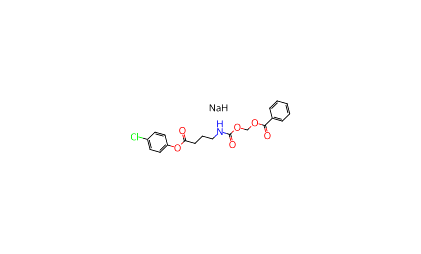 O=C(CCCNC(=O)OCOC(=O)c1ccccc1)Oc1ccc(Cl)cc1.[NaH]